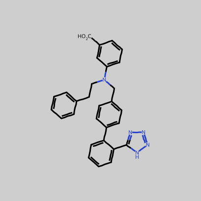 O=C(O)c1cccc(N(CCc2ccccc2)Cc2ccc(-c3ccccc3-c3nnn[nH]3)cc2)c1